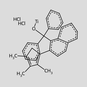 CC1=C(C)C(C)=C(c2ccc3ccccc3c2C([O][Ti])(c2ccccc2)c2ccccc2)C1.Cl.Cl